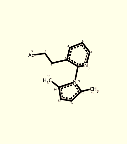 CC(=O)CCc1cccnc1-n1c(C)ccc1C